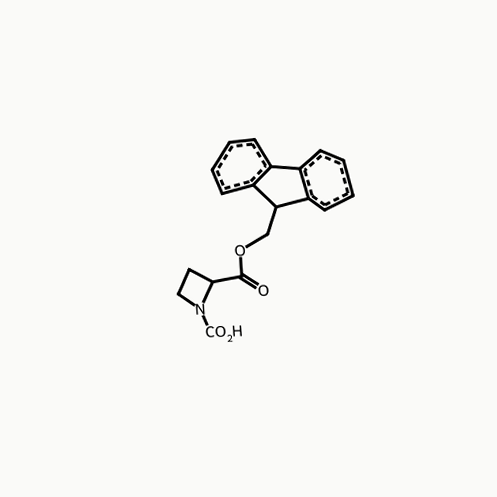 O=C(OCC1c2ccccc2-c2ccccc21)C1CCN1C(=O)O